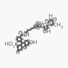 Cc1cn([C@H]2C[C@@H](O)[C@@H](COP(=O)(O)OCCCCCCNC(=O)c3ccc(C(=O)O)c(-c4c5ccc(=O)cc-5oc5cc(O)ccc45)c3)O2)c(=O)[nH]c1=O